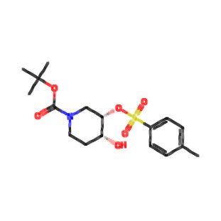 Cc1ccc(S(=O)(=O)O[C@H]2CN(C(=O)OC(C)(C)C)CC[C@H]2O)cc1